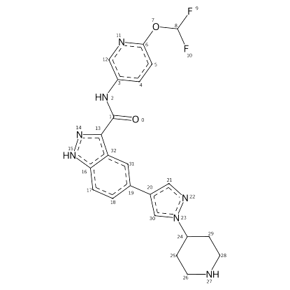 O=C(Nc1ccc(OC(F)F)nc1)c1n[nH]c2ccc(-c3cnn(C4CCNCC4)c3)cc12